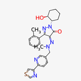 Cc1ccccc1C1=NN([C@H]2CCCC[C@@H]2O)C(=O)/C1=N/N(C)Cc1ccc(-c2cscn2)nc1